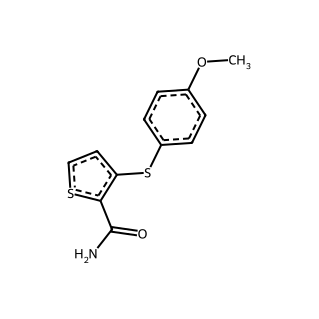 COc1ccc(Sc2ccsc2C(N)=O)cc1